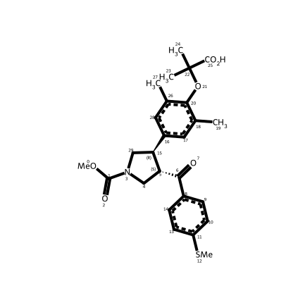 COC(=O)N1C[C@@H](C(=O)c2ccc(SC)cc2)[C@H](c2cc(C)c(OC(C)(C)C(=O)O)c(C)c2)C1